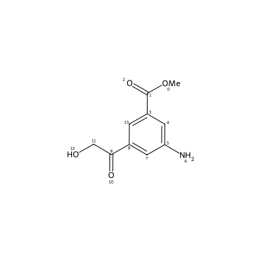 COC(=O)c1cc(N)cc(C(=O)CO)c1